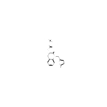 CC(C)(C)OC(=O)N[C@H]1Cc2ccccc2N(Cc2ccc(Cl)s2)C1=O